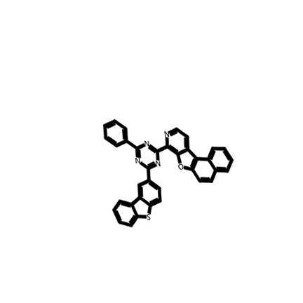 c1ccc(-c2nc(-c3ccc4sc5ccccc5c4c3)nc(-c3nccc4c3oc3ccc5ccccc5c34)n2)cc1